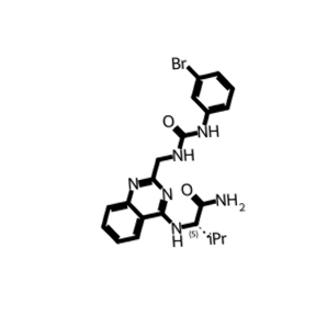 CC(C)[C@H](Nc1nc(CNC(=O)Nc2cccc(Br)c2)nc2ccccc12)C(N)=O